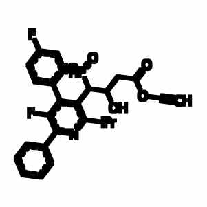 C#COC(=O)CC(O)C(c1c(C(C)C)nc(-c2ccccc2)c(F)c1-c1ccc(F)cc1)[PH](=O)O